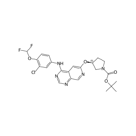 CC(C)(C)OC(=O)N1CC[C@H](Oc2cc3c(Nc4ccc(OC(F)F)c(Cl)c4)ncnc3cn2)C1